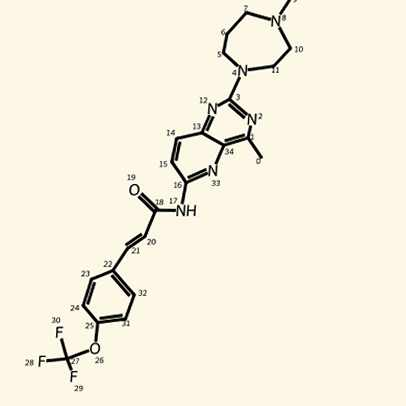 Cc1nc(N2CCCN(C)CC2)nc2ccc(NC(=O)/C=C/c3ccc(OC(F)(F)F)cc3)nc12